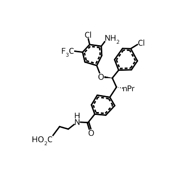 CCC[C@H](c1ccc(C(=O)NCCC(=O)O)cc1)[C@@H](Oc1cc(N)c(Cl)c(C(F)(F)F)c1)c1ccc(Cl)cc1